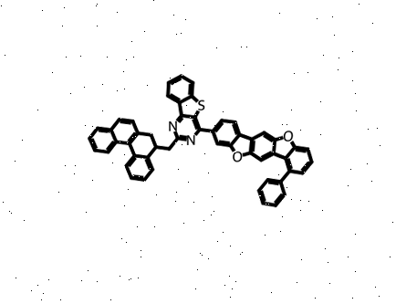 c1ccc(-c2cccc3oc4cc5c(cc4c23)oc2cc(-c3nc(CC4Cc6ccc7ccccc7c6-c6ccccc64)nc4c3sc3ccccc34)ccc25)cc1